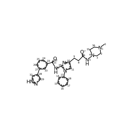 CN1CCN(NC(=O)CCc2cn(-c3ccccc3)c(NC(=O)c3cccc(-c4cn[nH]c4)c3)n2)CC1